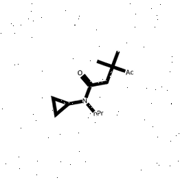 CCCN(C(=O)CC(C)(C)C(C)=O)C1CC1